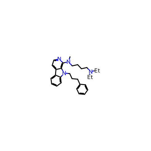 CCN(CC)CCCCN(C)c1nccc2c3ccccc3n(CCCc3ccccc3)c12